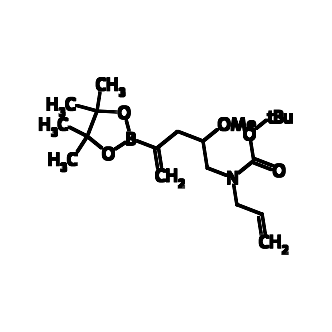 C=CCN(CC(CC(=C)B1OC(C)(C)C(C)(C)O1)OC)C(=O)OC(C)(C)C